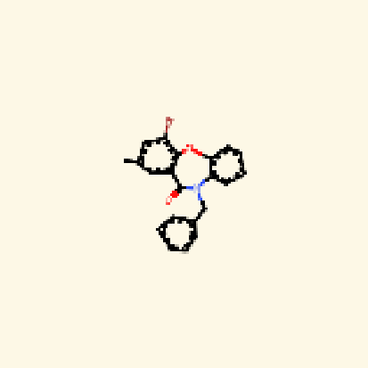 Cc1cc(Br)c2c(c1)C(=O)N(Cc1ccccc1)c1ccccc1O2